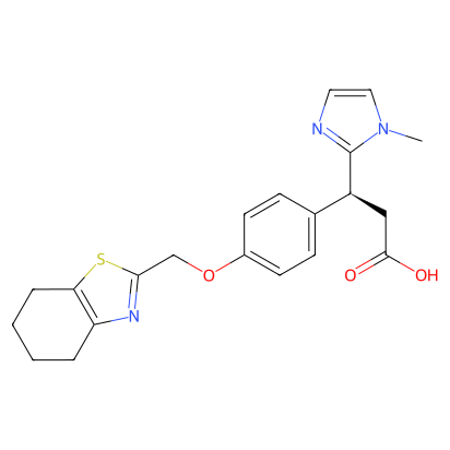 Cn1ccnc1[C@@H](CC(=O)O)c1ccc(OCc2nc3c(s2)CCCC3)cc1